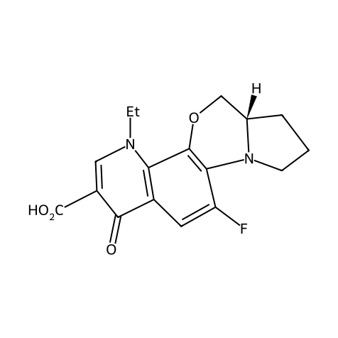 CCn1cc(C(=O)O)c(=O)c2cc(F)c3c(c21)OC[C@@H]1CCCN31